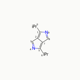 CC(C)C1=C2C=NC(C(C)C)=C2C=N1